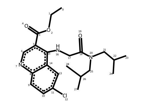 CCOC(=O)c1cnc2ccc(Cl)cc2c1NCC(=O)N(CC(C)C)CC(C)C